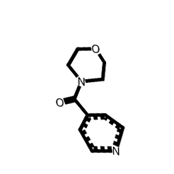 O=C(c1ccncc1)N1CCOCC1